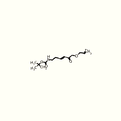 C=CCOCC(=O)C=CCCNC(=O)OC(C)(C)C